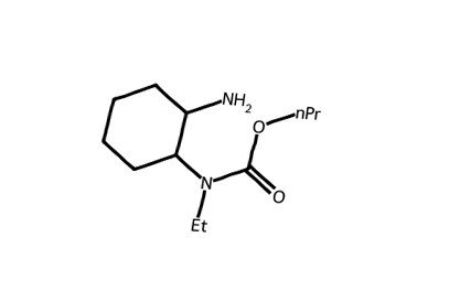 CCCOC(=O)N(CC)C1CCCCC1N